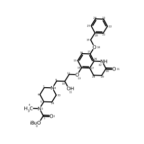 CC(C)COC(=O)N(C)C1CCN(CC(O)COc2ccc(OCc3ccccc3)c3c2CCC(=O)N3)CC1